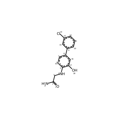 NC(=O)CNc1ncc(-c2cccc(Cl)c2)cc1O